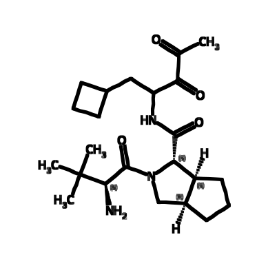 CC(=O)C(=O)C(CC1CCC1)NC(=O)[C@@H]1[C@H]2CCC[C@H]2CN1C(=O)[C@@H](N)C(C)(C)C